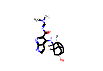 CN(C)C=NC(=O)c1cnc2[nH]ccc2c1N[C@H]1[C@@H]2CC3C[C@H]1C[C@@](O)(C3)C2